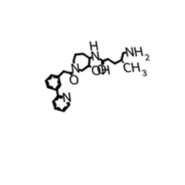 C[C@H](CN)CCC(=O)NC1CCCN(C(=O)Cc2cccc(-c3ccccn3)c2)CC1O